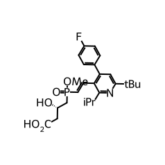 COP(=O)(C=Cc1c(-c2ccc(F)cc2)cc(C(C)(C)C)nc1C(C)C)C[C@@H](O)CC(=O)O